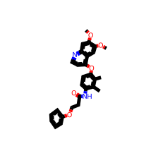 COc1cc2nccc(Oc3ccc(NC(=O)CCOc4ccccc4)c(C)c3C)c2cc1OC